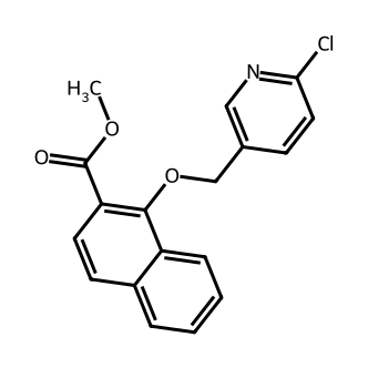 COC(=O)c1ccc2ccccc2c1OCc1ccc(Cl)nc1